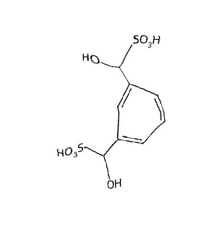 O=S(=O)(O)C(O)c1cccc(C(O)S(=O)(=O)O)c1